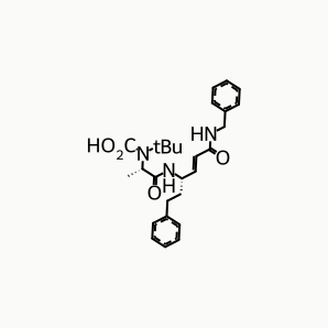 C[C@@H](C(=O)N[C@H](/C=C/C(=O)NCc1ccccc1)CCc1ccccc1)N(C(=O)O)C(C)(C)C